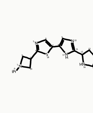 CC(C)N1CC(c2ncc(-c3cnc(C4CCCN4)[nH]3)s2)C1